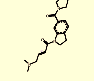 CN(C)C/C=C/C(=O)N1CCc2ccc(C(=O)N3CCCC3)cc21